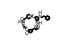 COc1ccc2cc1CN(C)CCNC(=O)C1CCN(CC1)Cc1cc(NCCc3ccccc3)cc(c1)Nc1nccc-2n1